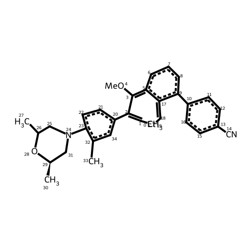 C\C=C(/C(OC)=c1/cccc(-c2ccc(C#N)cc2)/c1=C/CC)c1ccc(N2CC(C)O[C@H](C)C2)c(C)c1